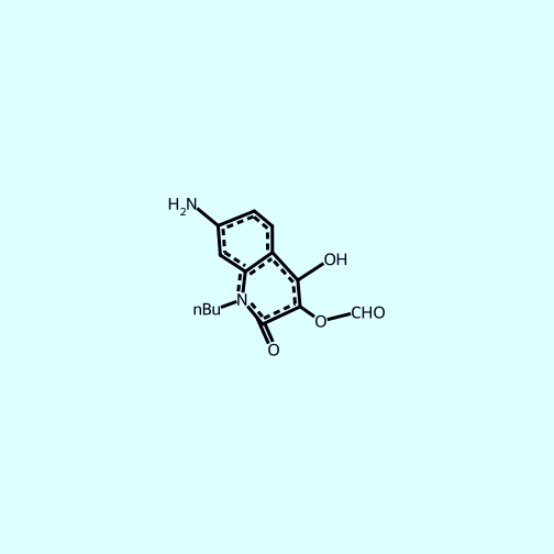 CCCCn1c(=O)c(OC=O)c(O)c2ccc(N)cc21